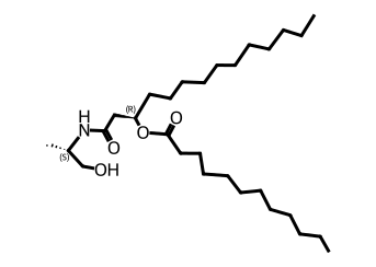 [CH2][C@@H](CO)NC(=O)C[C@@H](CCCCCCCCCCC)OC(=O)CCCCCCCCCCC